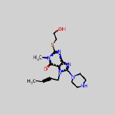 CC#CCn1c(N2CCNCC2)nc2nc(SCCO)n(C)c(=O)c21